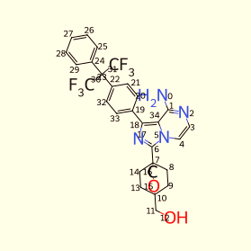 Nc1nccn2c(C34CCC(CO)(CC3)OC4)nc(-c3ccc(C(c4ccccc4)(C(F)(F)F)C(F)(F)F)cc3)c12